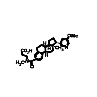 COc1cncc([C@H]2CC[C@H]3[C@@H]4CCc5cc(C(=O)N(C)CCC(=O)O)ccc5[C@H]4CC[C@]23C)c1